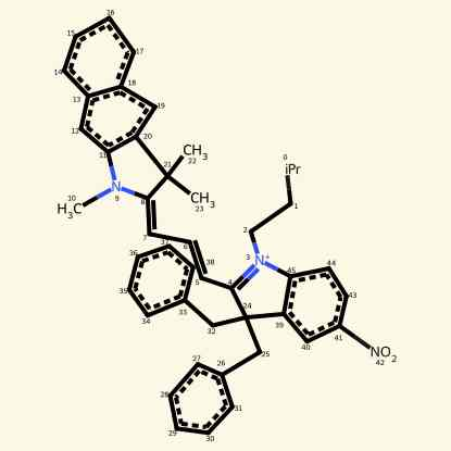 CC(C)CC[N+]1=C(/C=C/C=C2/N(C)c3cc4ccccc4cc3C2(C)C)C(Cc2ccccc2)(Cc2ccccc2)c2cc([N+](=O)[O-])ccc21